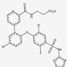 O=C(O)CCNC(=O)c1cc(-c2cc(Cl)ccc2Oc2cc(F)c(S(=O)(=O)Nc3ncns3)cc2Cl)ccn1